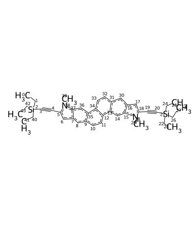 CC[Si](C#Cc1cc2cc3ccc4c5cc6c(cc(C#C[Si](CC)(CC)CC)n6C)cc5ccc4c3cc2n1C)(CC)CC